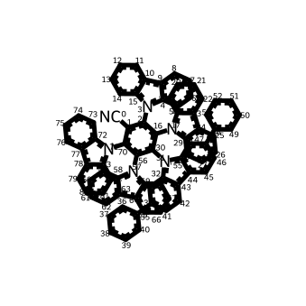 N#Cc1c(-n2c3ccccc3c3ccccc32)c(-n2c3ccccc3c3ccccc32)c(-n2c3cc(-c4ccccc4)ccc3c3ccc(-c4ccccc4)cc32)c(-n2c3ccccc3c3ccccc32)c1-n1c2ccccc2c2ccccc21